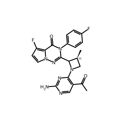 CC(=O)c1cnc(N)nc1N1C[C@H](C)C1c1nn2ccc(F)c2c(=O)n1-c1ccc(F)cc1